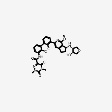 COc1nc(-c2cccc(-c3cccc(NC(=O)c4nn(C)c(=O)n(C)c4=O)c3Cl)c2Cl)cc2c1[C@@H](N[C@@H]1COC[C@H]1O)CC2